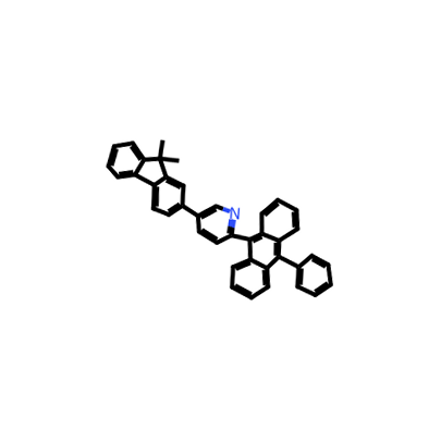 CC1(C)c2ccccc2-c2ccc(-c3ccc(-c4c5ccccc5c(-c5ccccc5)c5ccccc45)nc3)cc21